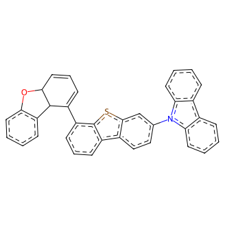 C1=CC2Oc3ccccc3C2C(c2cccc3c2sc2cc(-n4c5ccccc5c5ccccc54)ccc23)=C1